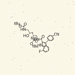 CC(C)(C)OC(=O)NCC(O)C[C@@H](CNC(=O)c1[nH]c2c(F)cccc2c1-c1ccc(C#N)cc1)NC(=O)OC(C)(C)C